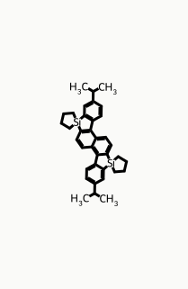 CC(C)c1ccc2c(c1)[Si]1(CCCC1)c1ccc3c4c(ccc3c1-2)[Si]1(CCCC1)c1cc(C(C)C)ccc1-4